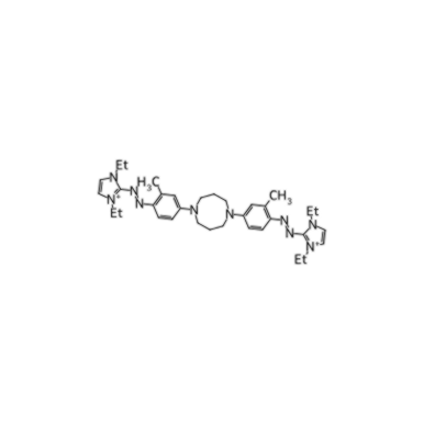 CCn1cc[n+](CC)c1/N=N/c1ccc(N2CCCN(c3ccc(/N=N/c4n(CC)cc[n+]4CC)c(C)c3)CCC2)cc1C